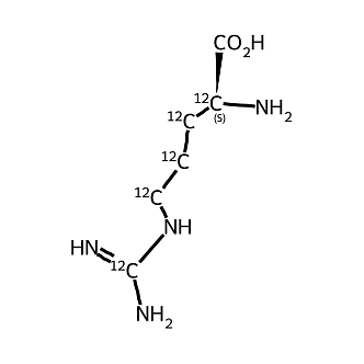 N=[12C](N)N[12CH2][12CH2][12CH2][12C@H](N)[12C](=O)O